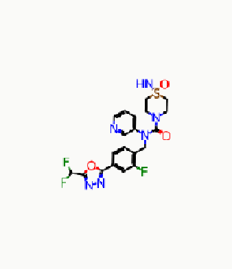 N=S1(=O)CCN(C(=O)N(Cc2ccc(-c3nnc(C(F)F)o3)cc2F)c2cccnc2)CC1